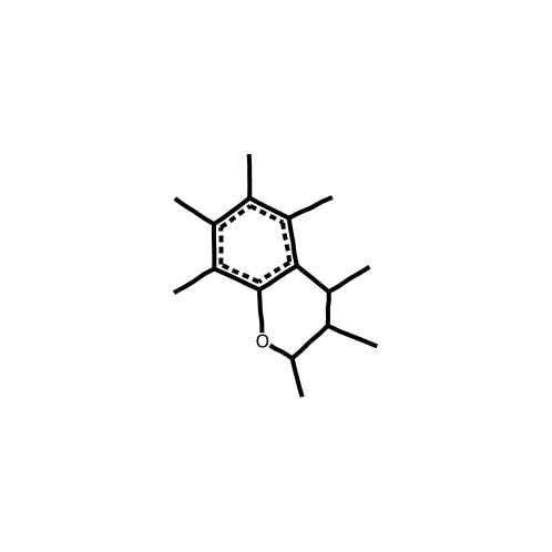 Cc1c(C)c(C)c2c(c1C)OC(C)C(C)C2C